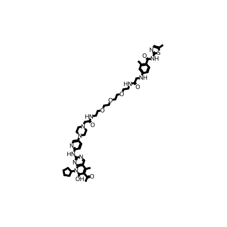 CC(=O)C1=C(C)c2cnc(Nc3ccc(N4CCN(CC(=O)NCCOCCOCCOCCNC(=O)CNc5ccc(C(=O)Nc6ncc(C)s6)c(C)c5)CC4)cn3)nc2N(C2CCCC2)C1O